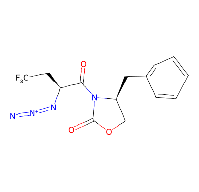 [N-]=[N+]=N[C@@H](CC(F)(F)F)C(=O)N1C(=O)OC[C@@H]1Cc1ccccc1